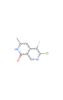 Cc1cc2c(F)c(Cl)ncc2c(=O)[nH]1